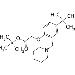 CC(C)(C)OC(=O)COc1ccc(C(C)(C)C)cc1CN1CCCCC1